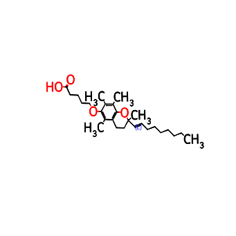 CCCCCCC/C=C/C1(C)CCc2c(C)c(OCCCCC(=O)O)c(C)c(C)c2O1